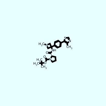 Cc1ncsc1-c1ccc(C2(NC(=O)[C@@H]3CCCN3C(=O)OC(C)(C)C)CN(C)C2)cc1